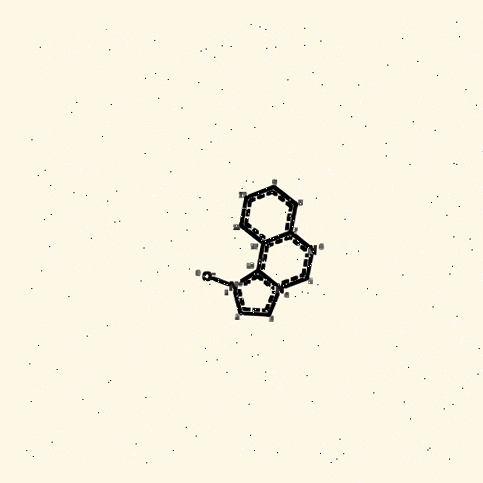 [O-][n+]1ccn2cnc3ccccc3c21